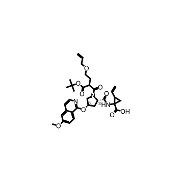 C=CCOCCC(C(=O)OC(C)(C)C)C(=O)N1C[C@H](Oc2nccc3cc(OC)ccc23)C[C@H]1C(=O)NC1(C(=O)O)CC1C=C